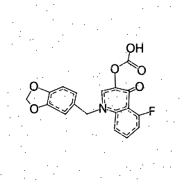 O=C(O)Oc1cn(Cc2ccc3c(c2)OCO3)c2cccc(F)c2c1=O